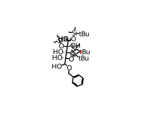 CC(C)(C)[Si](C)(C)OC(O)[C@@](O)(O[Si](C)(C)C(C)(C)C)[C@@](O)(O[Si](C)(C)C(C)(C)C)[C@@](O)(O[Si](C)(C)C(C)(C)C)C(O)OCc1ccccc1